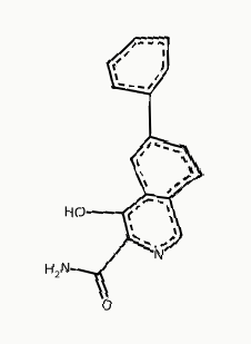 NC(=O)c1ncc2ccc(-c3ccccc3)cc2c1O